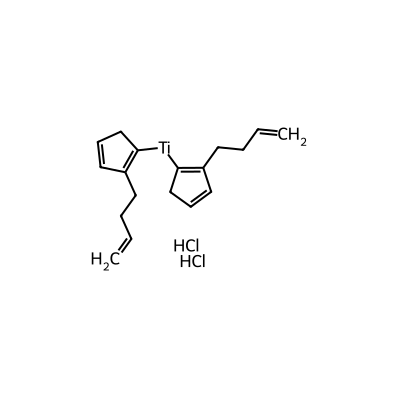 C=CCCC1=[C]([Ti][C]2=C(CCC=C)C=CC2)CC=C1.Cl.Cl